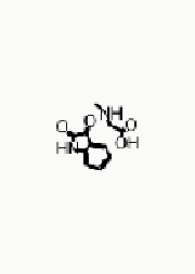 CNCC(=O)O.O=C1Nc2ccccc2C1=O